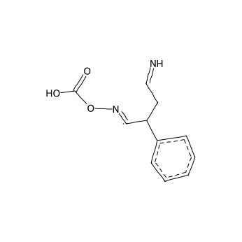 N=CCC([C]=NOC(=O)O)c1ccccc1